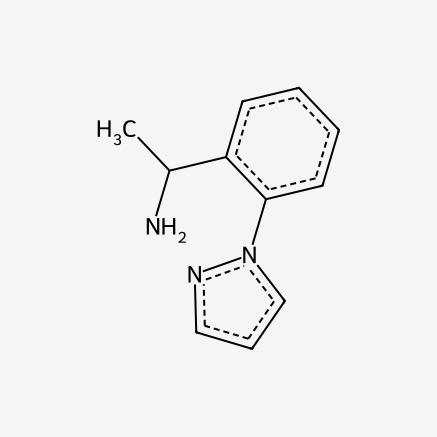 CC(N)c1ccccc1-n1cccn1